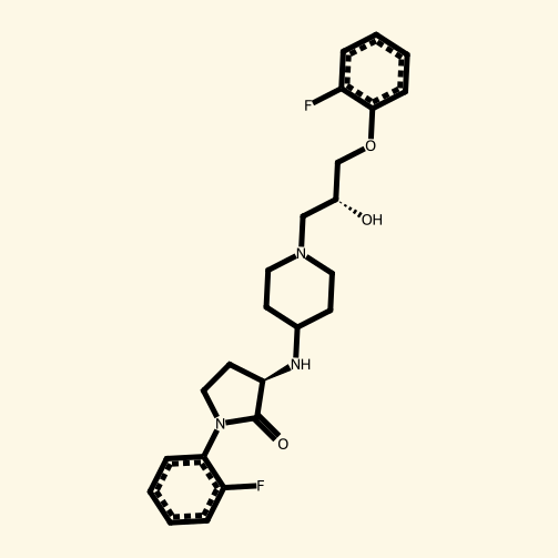 O=C1[C@H](NC2CCN(C[C@@H](O)COc3ccccc3F)CC2)CCN1c1ccccc1F